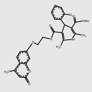 COC(=O)C1=C(C)NC(C)=C(C(=O)OCCOc2ccc3c(C)cc(=O)oc3c2)C1c1ccccc1[N+](=O)[O-]